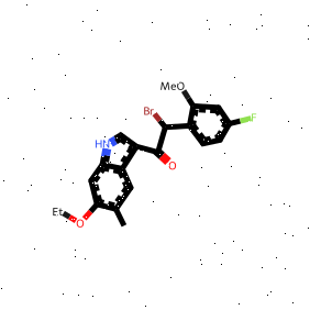 CCOc1cc2[nH]cc(C(=O)C(Br)c3ccc(F)cc3OC)c2cc1C